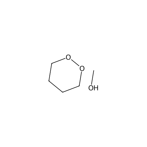 C1CCOOC1.CO